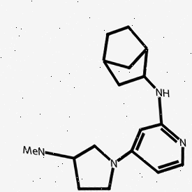 CNC1CCN(c2ccnc(NC3CC4CCC3C4)c2)C1